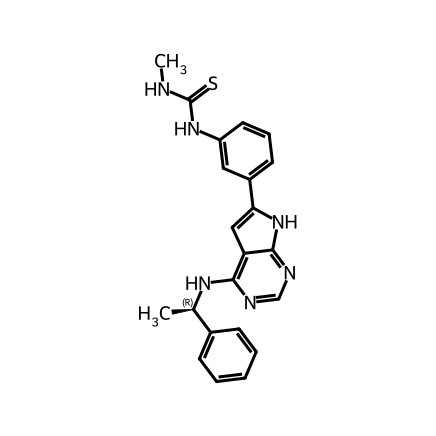 CNC(=S)Nc1cccc(-c2cc3c(N[C@H](C)c4ccccc4)ncnc3[nH]2)c1